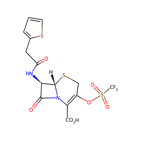 O=C(Cc1cccs1)N[C@@H]1C(=O)N2C(C(=O)O)=C(OS(=O)(=O)C(F)(F)F)CS[C@@H]12